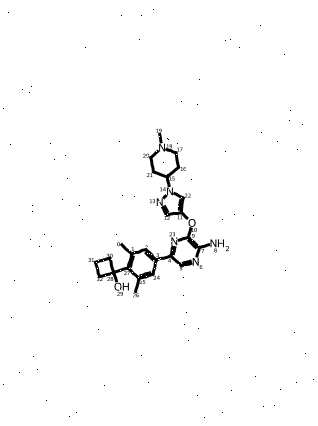 Cc1cc(-c2cnc(N)c(Oc3cnn(C4CCN(C)CC4)c3)n2)cc(C)c1C1(O)CCC1